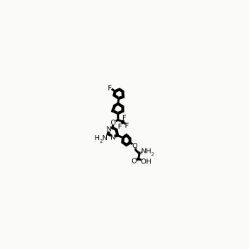 Nc1nc(OC(c2ccc(-c3cccc(F)c3)cc2)C(F)(F)F)cc(-c2ccc(OC[C@H](N)C(=O)O)cc2)n1